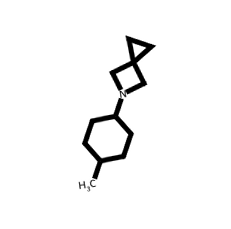 CC1CCC(N2CC3(CC3)C2)CC1